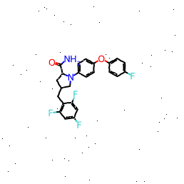 NC(=O)C1CC(Cc2c(F)cc(F)cc2F)CN1c1ccc(Oc2ccc(F)cc2)cc1